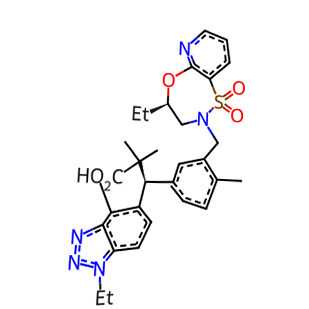 CC[C@@H]1CN(Cc2cc([C@@H](c3ccc4c(nnn4CC)c3C)C(C)(C)C(=O)O)ccc2C)S(=O)(=O)c2cccnc2O1